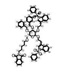 O=C1c2ccccc2C(=O)N1CCCCCOC[C@H]1O[C@H](OCCc2cn(S(=O)(=O)c3ccccc3)c3ccccc23)[C@H](OCCc2cn(S(=O)(=O)c3ccccc3)c3ccccc23)[C@@H](OCc2ccccc2)[C@@H]1OCc1ccccc1